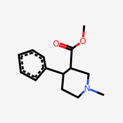 COC(=O)C1CN(C)CCC1c1ccccc1